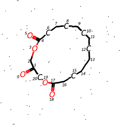 O=C1COC(=O)CCCCCCCCCCCC(=O)OC1